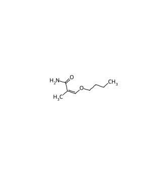 CCCCOC=C(C)C(N)=O